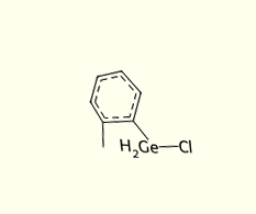 Cc1cccc[c]1[GeH2][Cl]